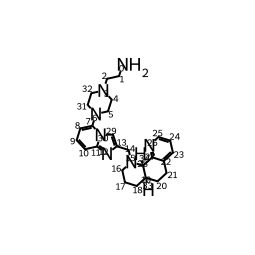 NCCN1CCN(c2cccc3nc(CN4CCC[C@H]5CCc6cccnc6[C@H]54)cn23)CC1